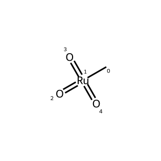 [CH3][Ru](=[O])(=[O])=[O]